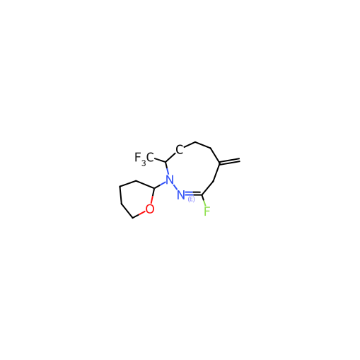 C=C1CCCC(C(F)(F)F)N(C2CCCCO2)/N=C(/F)C1